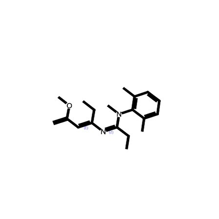 C=C(/C=C(CC)/N=C(/CC)N(C)c1c(C)cccc1C)OC